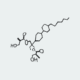 C=C(CO)C(=O)OCC(CC)(COC(=O)C(=C)CO)C1CCC(C2CCC(CCCCCCC)CC2)CC1